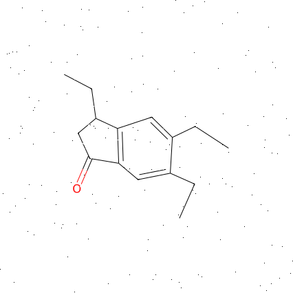 CCc1cc2c(cc1CC)C(CC)CC2=O